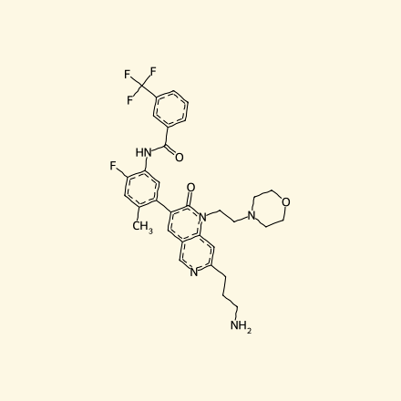 Cc1cc(F)c(NC(=O)c2cccc(C(F)(F)F)c2)cc1-c1cc2cnc(CCCN)cc2n(CCN2CCOCC2)c1=O